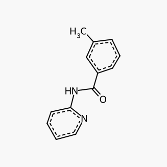 Cc1cccc(C(=O)Nc2ccccn2)c1